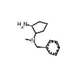 CN(Cc1ccccc1)C1CCCC1N